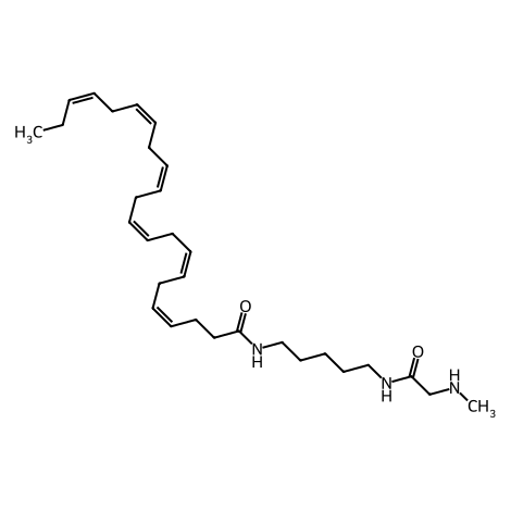 CC/C=C\C/C=C\C/C=C\C/C=C\C/C=C\C/C=C\CCC(=O)NCCCCCNC(=O)CNC